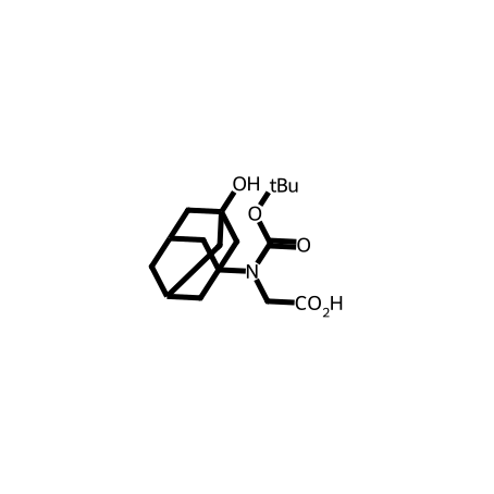 CC(C)(C)OC(=O)N(CC(=O)O)C12CC3CC(CC(O)(C3)C1)C2